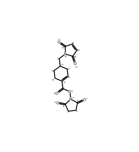 O=C(ON1C(=O)CCC1=O)C1=CCC(CN2C(=O)C=CC2=O)CC1